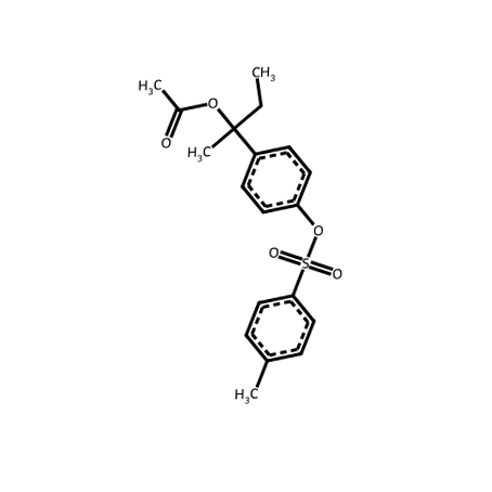 CCC(C)(OC(C)=O)c1ccc(OS(=O)(=O)c2ccc(C)cc2)cc1